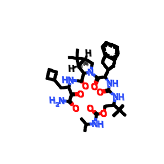 CC(C)NC(=O)OCC(NC(=O)NC(C(=O)N1C[C@H]2[C@@H](C1C(=O)NC(CC1CCC1)C(=O)C(N)=O)C2(C)C)C1Cc2ccccc2C1)C(C)(C)C